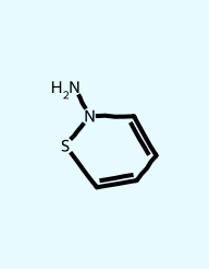 NN1C=CC=CS1